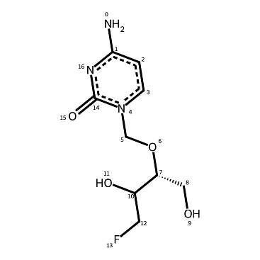 Nc1ccn(CO[C@H](CO)C(O)CF)c(=O)n1